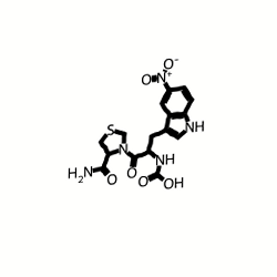 NC(=O)C1CSCN1C(=O)C(Cc1c[nH]c2ccc([N+](=O)[O-])cc12)NC(=O)O